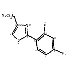 CCOC(=O)c1csc(-c2ccc(F)cc2F)n1